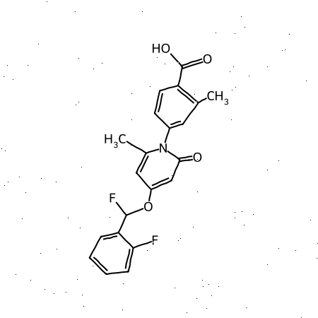 Cc1cc(-n2c(C)cc(OC(F)c3ccccc3F)cc2=O)ccc1C(=O)O